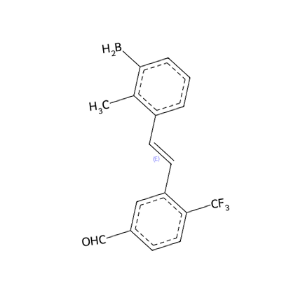 Bc1cccc(/C=C/c2cc(C=O)ccc2C(F)(F)F)c1C